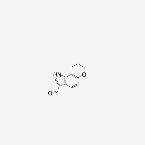 O=Cc1c[nH]c2c3c(ccc12)OCCC3